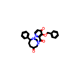 O=C1CCC(c2ccccc2)N2CN(C1)C(=O)c1c(OCc3ccccc3)c(=O)ccn12